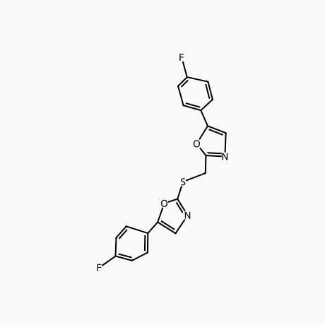 Fc1ccc(-c2cnc(CSc3ncc(-c4ccc(F)cc4)o3)o2)cc1